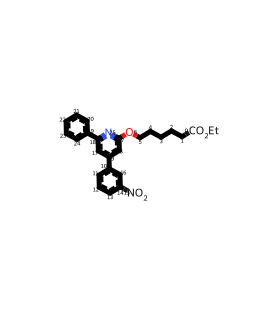 CCOC(=O)CCCCCOc1cc(-c2cccc([N+](=O)[O-])c2)cc(-c2ccccc2)n1